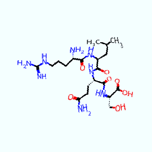 CC(C)C[C@H](NC(=O)[C@@H](N)CCCNC(=N)N)C(=O)N[C@@H](CCC(N)=O)C(=O)N[C@@H](CO)C(=O)O